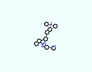 S=P(c1ccccc1)(c1ccccc1)c1ccc2cc(-c3ccc4c(c3)c3ccc5ccccc5c3c3nc5ccc(-c6cccnc6)cc5n43)ccc2c1